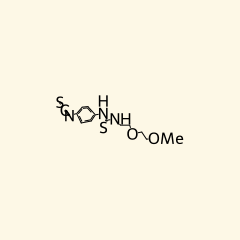 COCCOCCNC(=S)Nc1ccc(N=C=S)cc1